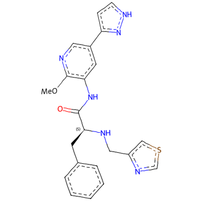 COc1ncc(-c2cc[nH]n2)cc1NC(=O)[C@H](Cc1ccccc1)NCc1cscn1